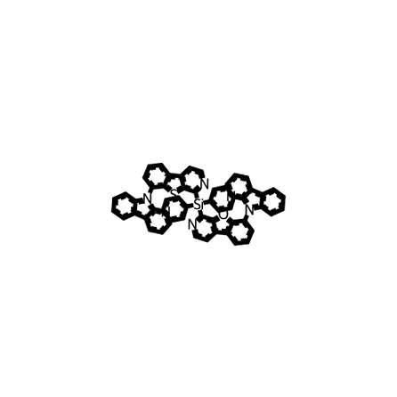 c1ccc([Si](c2ccccc2)(c2nccc3c2oc2c(-n4c5ccccc5c5cccnc54)cccc23)c2nccc3c2sc2c(-n4c5ccccc5c5cccnc54)cccc23)cc1